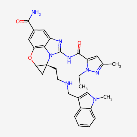 CCn1nc(C)cc1C(=O)Nc1nc2cc(C(N)=O)cc3c2n1[C@]1(CCNCc2cn(C)c4ccccc24)CC1O3